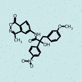 COc1cccc(CC(O)(C(=O)Nc2ccc3c(=O)onc(C)c3c2)c2ccc([N+](=O)[O-])cc2)c1